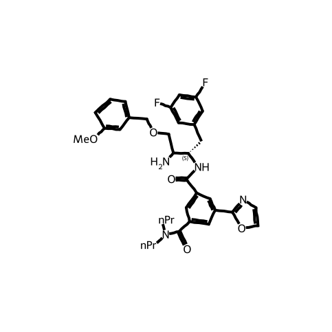 CCCN(CCC)C(=O)c1cc(C(=O)N[C@@H](Cc2cc(F)cc(F)c2)C(N)COCc2cccc(OC)c2)cc(-c2ncco2)c1